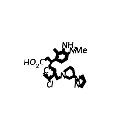 CNc1ccc(C(CC(=O)O)c2ccc(Cl)c(CN3CCCC(n4cccn4)C3)c2)c(C)c1N